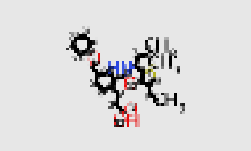 CCc1csc(C(CC(C)C)NC(=O)c2cc(COc3ccccc3)ccc2CCC(=O)O)c1